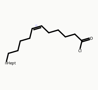 CCCCCCCCCCC/C=C\CCCCC(=O)Cl